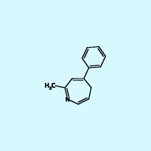 CC1=NC=CCC(c2ccccc2)=C1